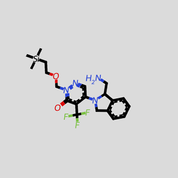 C[Si](C)(C)CCOCn1ncc(N2Cc3ccccc3C2CN)c(C(F)(F)F)c1=O